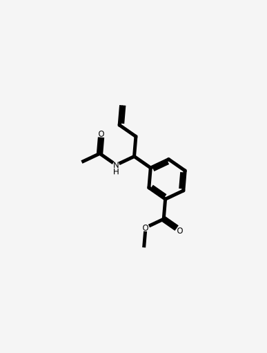 C=CCC(NC(C)=O)c1cccc(C(=O)OC)c1